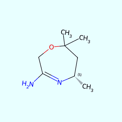 C[C@H]1CC(C)(C)OCC(N)=N1